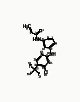 C=CC(=O)Nc1cccc(Nc2ncc(C(F)(F)F)c(Cl)n2)c1